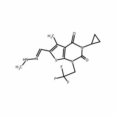 CN/N=C/c1sc2c(c1C)c(=O)n(C1CC1)c(=O)n2CC(F)(F)F